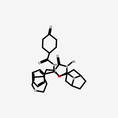 CC(C)N1C(=O)N(CC2CCOCC2)CC12CC1CCC(C2)N1CC[C@H](NC(=O)C1CCC(=O)CC1)c1ccccc1